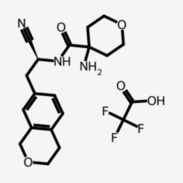 N#C[C@H](Cc1ccc2c(c1)COCC2)NC(=O)C1(N)CCOCC1.O=C(O)C(F)(F)F